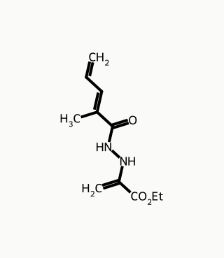 C=C/C=C(\C)C(=O)NNC(=C)C(=O)OCC